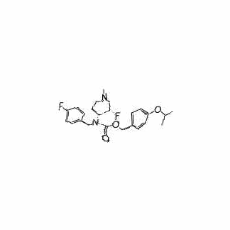 CC(C)Oc1ccc(COC(=O)N(Cc2ccc(F)cc2)[C@@H]2CCN(C)C[C@@H]2F)cc1